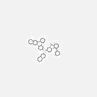 CC1(C)c2cc(N(c3ccc(-c4cc5ccccc5cc4-c4ccccc4)cc3)c3ccc4ccccc4c3)ccc2-c2c(-c3ccccc3)cccc21